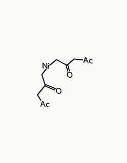 CC(=O)CC(=O)[CH2][Ni][CH2]C(=O)CC(C)=O